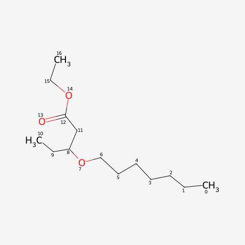 CCCCCCCOC(CC)CC(=O)OCC